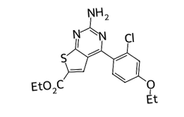 CCOC(=O)c1cc2c(-c3ccc(OCC)cc3Cl)nc(N)nc2s1